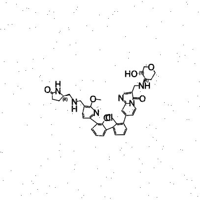 COc1nc(-c2cccc(-c3cccc(-c4ccn5c(=O)c(CN[C@@H]6CCOC[C@H]6O)cnc5c4)c3Cl)c2Cl)ccc1CNC[C@H]1CCC(=O)N1